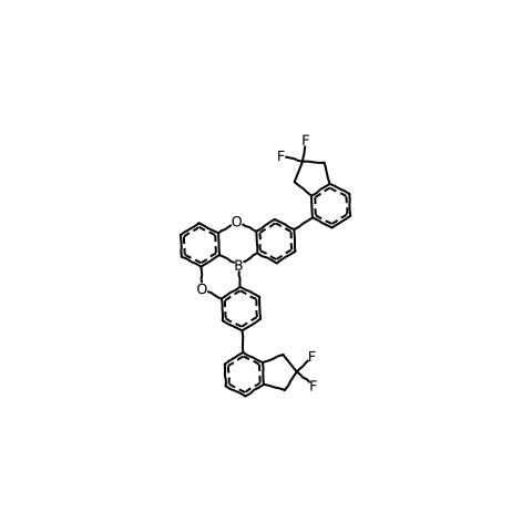 FC1(F)Cc2cccc(-c3ccc4c(c3)Oc3cccc5c3B4c3ccc(-c4cccc6c4CC(F)(F)C6)cc3O5)c2C1